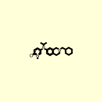 CC(C)N(c1ccc2c(c1)CN(CC1CCCCC1)CC2)c1ccc(=O)n(C)c1